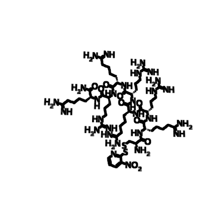 N=C(N)CCCC[C@H](NC(=O)[C@H](CCCNC(=N)N)NC(=O)[C@H](CCCCC(=N)N)NC(=O)[C@H](CCCNC(=N)N)NC(=O)[C@H](CCCCC(=N)N)NC(=O)[C@H](CCCNC(=N)N)NC(=O)[C@H](CCCCC(=N)N)NC(=O)[C@@H](N)CSSc1ncccc1[N+](=O)[O-])C(N)=O